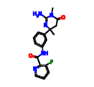 CN1C(=O)CC(C)(c2cccc(NC(=O)c3ncccc3F)c2)N=C1N